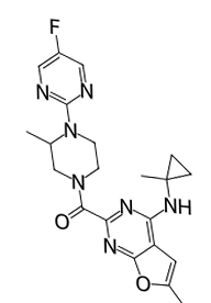 Cc1cc2c(NC3(C)CC3)nc(C(=O)N3CCN(c4ncc(F)cn4)C(C)C3)nc2o1